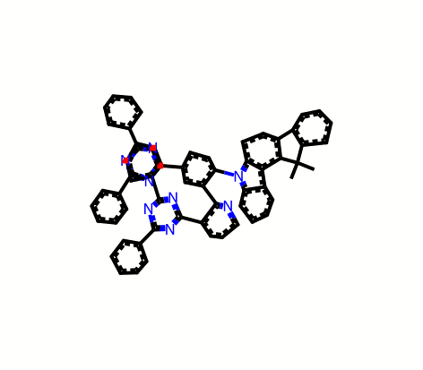 CC1(C)c2ccccc2-c2ccc3c(c21)c1ccccc1n3-c1ccc(-c2nc(-c3ccccc3)nc(-c3ccccc3)n2)cc1-c1ncccc1-c1nc(-c2ccccc2)nc(-c2ccccc2)n1